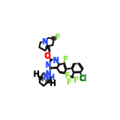 Fc1c(-c2cccc(Cl)c2C(F)(F)F)ccc2c(N3C[C@H]4CC[C@@H](C3)N4)nc(OC[C@@]34CCCN3C[C@H](F)C4)nc12